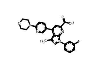 Cc1nn(-c2cccc(F)c2)c2nc(C(=O)O)cc(-c3ccc(N4CCOCC4)nc3)c12